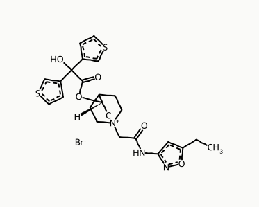 CCc1cc(NC(=O)C[N+]23CCC(CC2)[C@@H](OC(=O)C(O)(c2ccsc2)c2ccsc2)C3)no1.[Br-]